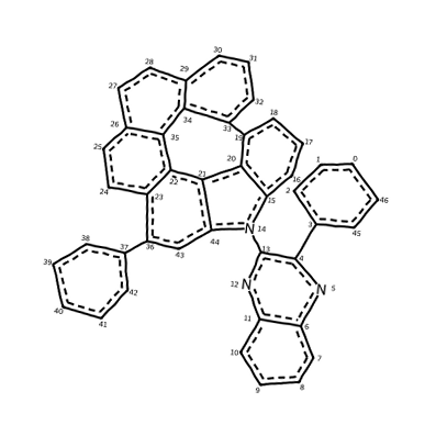 c1ccc(-c2nc3ccccc3nc2-n2c3cccc4c3c3c5c(ccc6ccc7cccc-4c7c65)c(-c4ccccc4)cc32)cc1